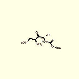 CCCCCCCCCCCC(N)C(=O)[C@@H](NC(=O)OC(C)(C)C)C(C)C